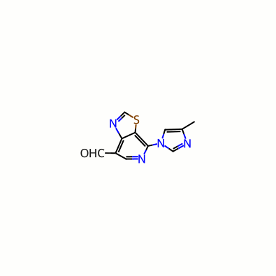 Cc1cn(-c2ncc(C=O)c3ncsc23)cn1